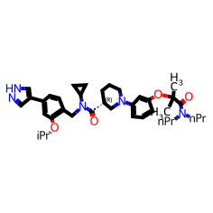 CCCN(CCC)C(=O)C(C)(C)Oc1cccc(N2CCC[C@@H](C(=O)N(Cc3ccc(-c4cn[nH]c4)cc3OC(C)C)C3CC3)C2)c1